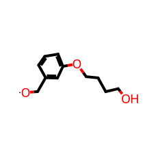 [O]Cc1cccc(OCCCCO)c1